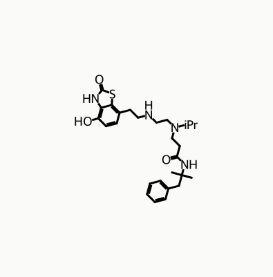 CC(C)N(CCNCCc1ccc(O)c2[nH]c(=O)sc12)CCC(=O)NC(C)(C)Cc1ccccc1